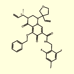 C=C[C@H](C)N1CN(C2(C=C)CCOC2)n2cc(C(=O)NCc3c(F)cc(F)cc3F)c(=O)c(OCc3ccccc3)c2C1=O